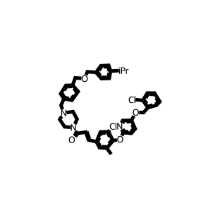 Cc1cc(/C=C/C(=O)N2CCN(Cc3ccc(COCc4ccc(C(C)C)cc4)cc3)CC2)cc(Cl)c1Oc1ccc(OCc2ccccc2Cl)cn1